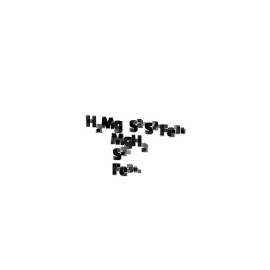 [Fe+3].[Fe+3].[MgH2].[MgH2].[S-2].[S-2].[S-2]